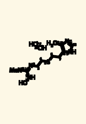 CN/C(=N/CCSCCc1[nH]cnc1C)NO.Cl.Cl